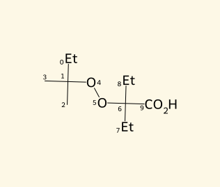 CCC(C)(C)OOC(CC)(CC)C(=O)O